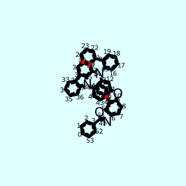 c1ccc(-c2nc3ccc4oc5cc(N(c6ccccc6-c6ccccc6)c6cccc7c8ccccc8n(-c8ccccc8)c67)ccc5c4c3o2)cc1